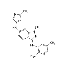 Cc1cnc(C)c(Nc2nn(C)c3nc(Nc4cnn(C)c4)ncc23)c1